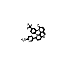 Nc1ccc(-c2ccc3ncc4ccc(=O)n(-c5cccc(C(F)(F)F)c5)c4c3n2)cn1